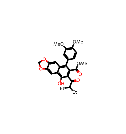 CCC(CC)C(=O)c1c(C(=O)OC)c(-c2ccc(OC)c(OC)c2)c2cc3c(cc2c1O)OCO3